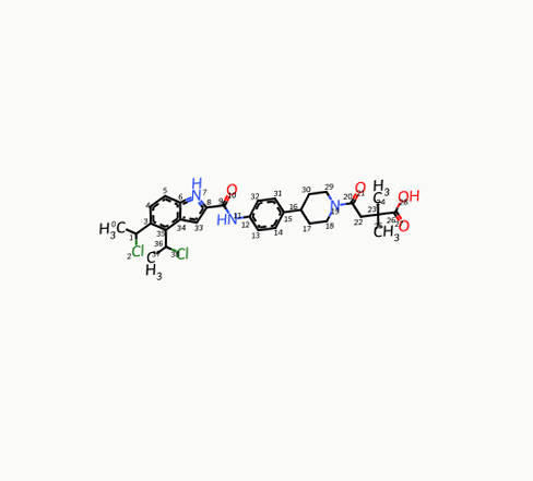 CC(Cl)c1ccc2[nH]c(C(=O)Nc3ccc(C4CCN(C(=O)CC(C)(C)C(=O)O)CC4)cc3)cc2c1C(C)Cl